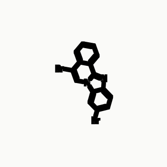 Brc1ccc2nc3c4ccccc4c(Br)cn3c2c1